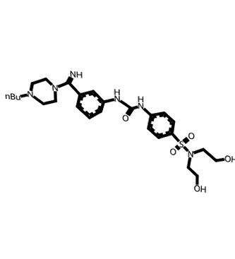 CCCCN1CCN(C(=N)c2cccc(NC(=O)Nc3ccc(S(=O)(=O)N(CCO)CCO)cc3)c2)CC1